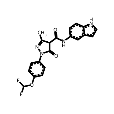 CC1=NN(c2ccc(OC(F)F)cc2)C(=O)C1C(=O)Nc1ccc2[nH]ccc2c1